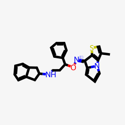 Cc1csc2c1-n1cccc1/C2=N\OC(CCNC1Cc2ccccc2C1)c1ccccc1